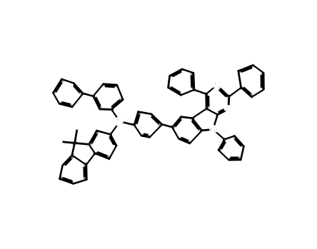 CC1(C)c2ccccc2-c2ccc(N(c3ccc(-c4ccc5c(c4)c4c(-c6ccccc6)nc(-c6ccccc6)nc4n5-c4ccccc4)cc3)c3cccc(-c4ccccc4)c3)cc21